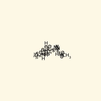 CS(=O)(=O)NCCn1nnnc1SCC1=C(C(=O)O)N2C(=O)[C@@H](NC(=O)Cc3cccs3)[C@H]2SC1